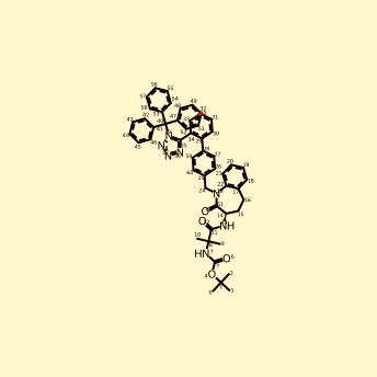 CC(C)(C)OC(=O)NC(C)(C)C(=O)N[C@@H]1CCc2ccccc2N(Cc2ccc(-c3ccccc3-c3nnnn3C(c3ccccc3)(c3ccccc3)c3ccccc3)cc2)C1=O